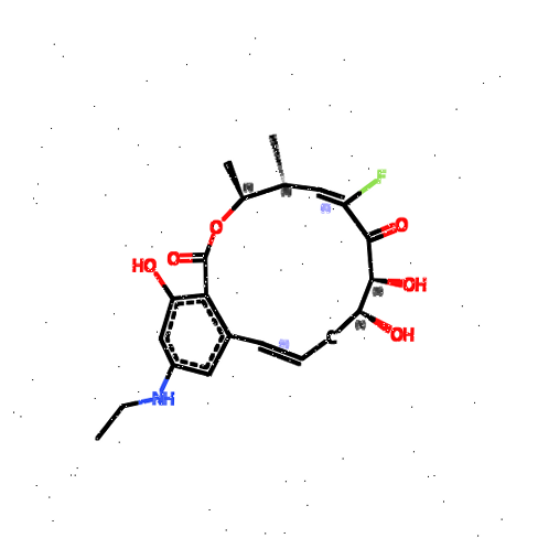 CCNc1cc(O)c2c(c1)/C=C/C[C@H](O)[C@H](O)C(=O)/C(F)=C\[C@@H](C)[C@H](C)OC2=O